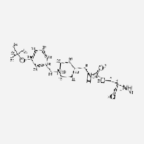 CNC(=O)COC(=O)NCC1CCN(Cc2cccc(OC(C)(C)C)c2)CC1